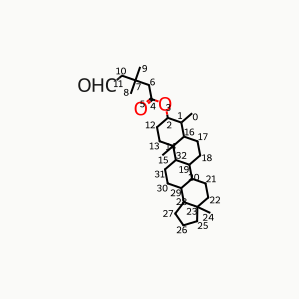 CC1C(OC(=O)CC(C)(C)CC=O)CCC2(C)C1CCC1C3CCC4(C)CCCC4C3CCC12